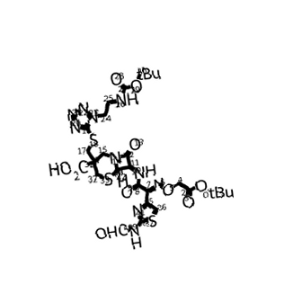 CC(C)(C)OC(=O)CON=C(C(=O)NC1C(=O)N2CC(CSc3nnnn3CCNC(=O)OC(C)(C)C)(C(=O)O)CS[C@H]12)c1csc(NC=O)n1